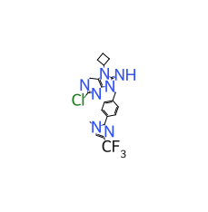 Cn1cc(C(F)(F)F)nc1-c1ccc(Cn2c(=N)n(C3CCC3)c3cnc(Cl)nc32)cc1